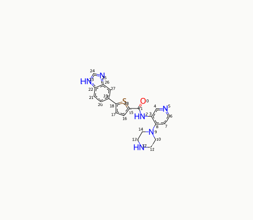 O=C(Nc1cnccc1N1CCNCC1)c1ccc(-c2ccc3[nH]cnc3c2)s1